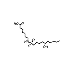 CCCCCC(O)CCCCS(=O)(=O)NCCCCCCC(=O)O